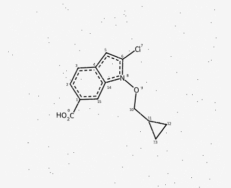 O=C(O)c1ccc2cc(Cl)n(OCC3CC3)c2c1